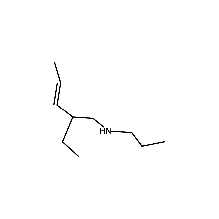 C/C=C/C(CC)CNCCC